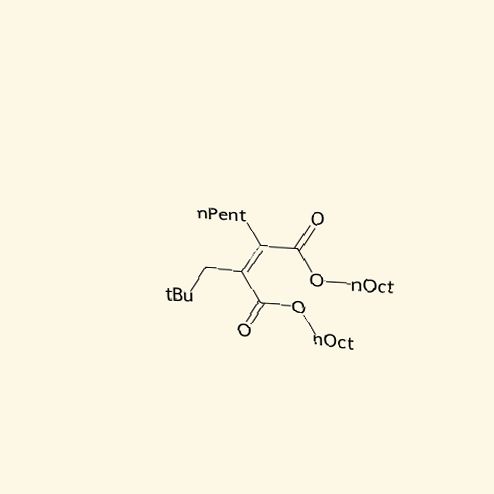 CCCCCCCCOC(=O)C(CCCCC)=C(CC(C)(C)C)C(=O)OCCCCCCCC